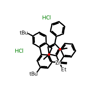 Cl.Cl.[CH2]=[Zr]([CH2]C)([C]1=C(C)C(c2ccccc2)=CC1C)([c]1ccccc1)[c]1cc(C(C)(C)C)cc2c1Cc1ccc(C(C)(C)C)cc1-2